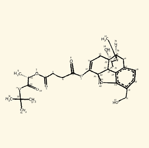 C[C@H](OC(=O)CCC(=O)OC1=CC[C@@]2(O)[C@H]3Cc4ccc(CO)c5c4[C@@]2(CCN3C)[C@H]1O5)C(=O)OC(C)(C)C